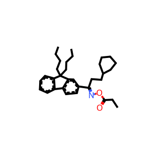 CCCCC1(CCCC)c2ccccc2-c2ccc(/C(CCC3CCCCC3)=N/OC(=O)CC)cc21